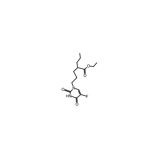 CCCC(CCCn1cc(F)c(=O)[nH]c1=O)C(=O)OCC